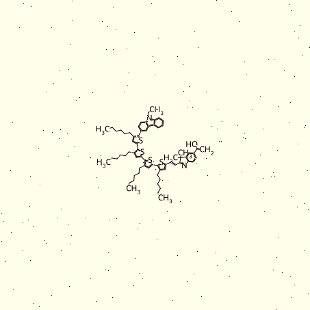 C=C(O)c1ccc2c(c1)C(C)(C)C(/C=C/c1cc(CCCCCC)c(-c3cc(CCCCCC)c(-c4cc(CCCCCC)c(-c5cc(CCCCCC)c(-c6ccc7c(c6)c6ccccc6n7CC)s5)s4)s3)s1)=N2